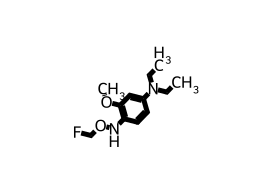 CCN(CC)c1ccc(NOCF)c(OC)c1